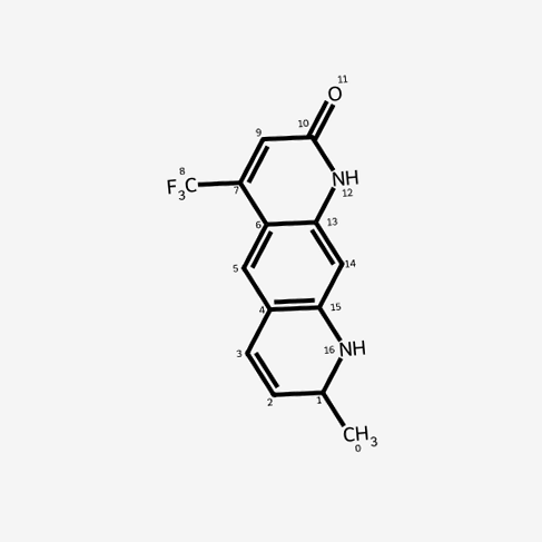 CC1C=Cc2cc3c(C(F)(F)F)cc(=O)[nH]c3cc2N1